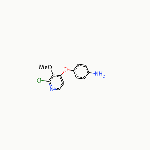 COc1c(Oc2ccc(N)cc2)ccnc1Cl